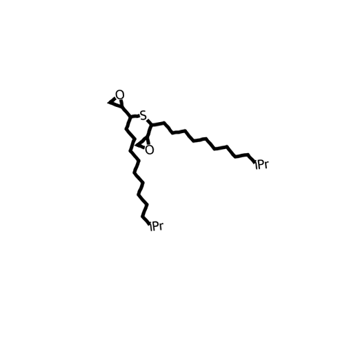 CC(C)CCCCCCCCCC(SC(CCCCCCCCCC(C)C)C1CO1)C1CO1